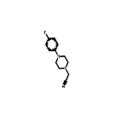 N#CCN1CCN(c2ccc(F)cc2)CC1